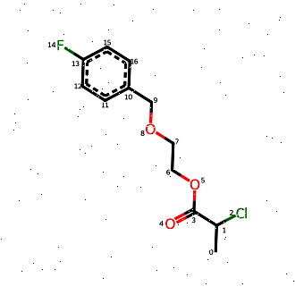 CC(Cl)C(=O)OCCOCc1ccc(F)cc1